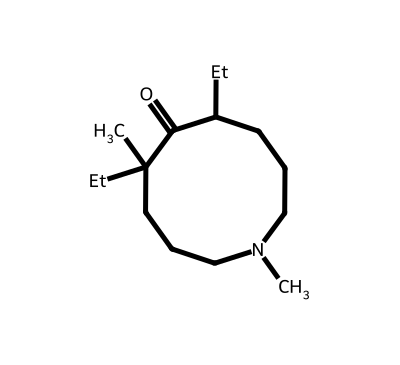 CCC1CCCN(C)CCCC(C)(CC)C1=O